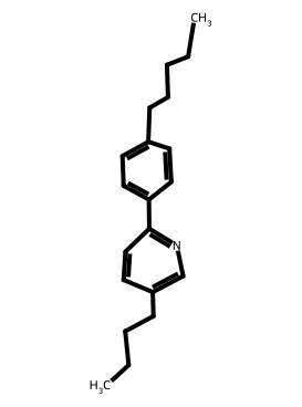 CCCCCc1ccc(-c2ccc(CCCC)cn2)cc1